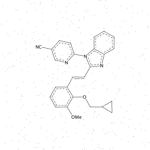 COc1cccc(/C=C/c2nc3ccccc3n2-c2ccc(C#N)cn2)c1OCC1CC1